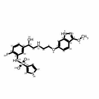 COc1n[nH]c2cc(OCCNC[C@H](O)c3ccc(F)c(NS(=O)(=O)c4ccsc4)c3)ccc12